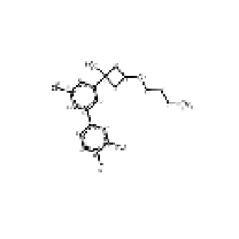 CCCCOC1CC(C)(c2cc(Cl)nc(-c3ccc(F)c(Cl)c3)c2)C1